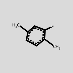 Cc1[c]c(F)c(C)cc1